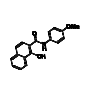 COc1ccc(NC(=O)c2ccc3ccccc3c2O)cc1